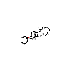 O=C(CN1CCCCOP1(=O)c1ccc(-c2ccccc2)cc1)NO